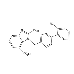 CCOC(=O)c1cccc2nc(OC)n(Cc3ccc(-c4ccccc4C#N)cc3)c12